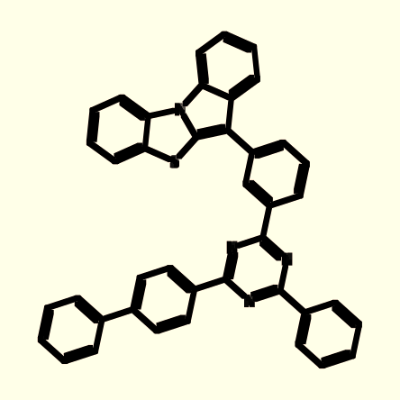 c1ccc(-c2ccc(-c3nc(-c4ccccc4)nc(-c4cccc(-c5c6ccccc6n6c5sc5ccccc56)c4)n3)cc2)cc1